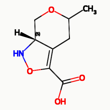 CC1CC2=C(C(=O)O)ON[C@@H]2CO1